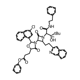 CC(C)(C)[C@@H](O)C(C(=O)NCCc1ccccc1)N1C(=O)C(N2C(=O)C(CCC(=O)Oc3ccccc3)OC2c2cc(Cl)cc3ccccc23)C1CCc1cc2ccccc2cn1